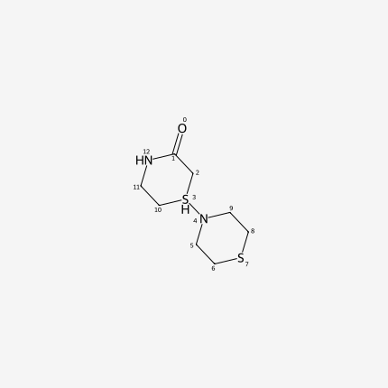 O=C1C[SH](N2CCSCC2)CCN1